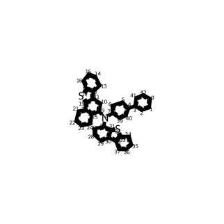 c1ccc(-c2ccc(N(c3cc4c5ccccc5sc4c4ccccc34)c3cccc4c3sc3ccccc34)cc2)cc1